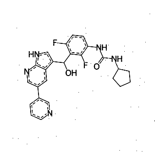 O=C(Nc1ccc(F)c(C(O)c2c[nH]c3ncc(-c4cccnc4)cc23)c1F)NC1CCCC1